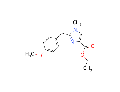 CCOC(=O)c1cn(C)c(Cc2ccc(OC)cc2)n1